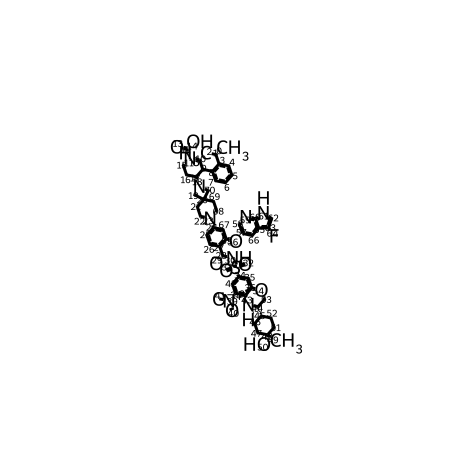 CC(C)c1ccccc1C1CN(C(=O)O)CCC1N1CC2(CCN(c3ccc(C(=O)NS(=O)(=O)c4cc5c(c([N+](=O)[O-])c4)N[C@@H](C4CCC(C)(O)CC4)CO5)c(Oc4cnc5[nH]cc(F)c5c4)c3)CC2)C1